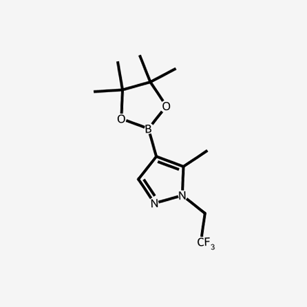 Cc1c(B2OC(C)(C)C(C)(C)O2)cnn1CC(F)(F)F